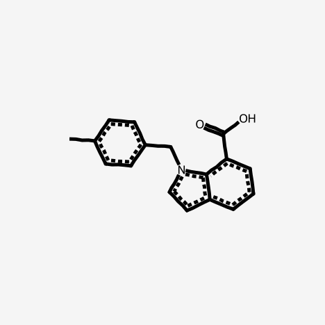 Cc1ccc(Cn2ccc3cccc(C(=O)O)c32)cc1